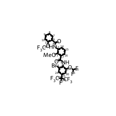 COc1c(NC(=O)c2ccccc2OC(F)(F)F)cccc1C(=O)Nc1c(Br)cc(C(F)(C(F)(F)F)C(F)(F)F)cc1OC(F)F